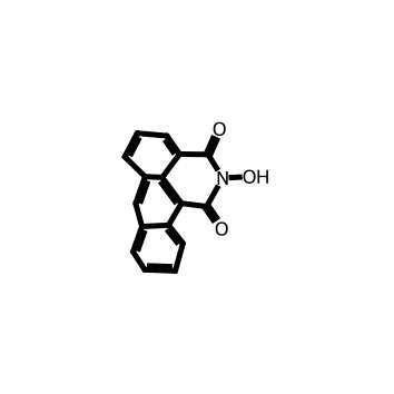 O=C1c2cccc3cc4ccccc4c(c23)C(=O)N1O